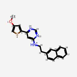 CCOc1csc(-c2cc(NCCc3ccc4ccccc4c3)ncn2)c1